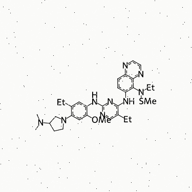 CCc1cc(Nc2ncc(CC)c(Nc3ccc4nccnc4c3N(CC)SC)n2)c(OC)cc1N1CCC(N(C)C)C1